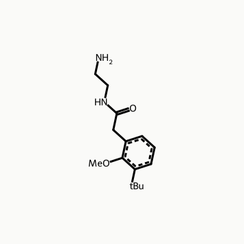 COc1c(CC(=O)NCCN)cccc1C(C)(C)C